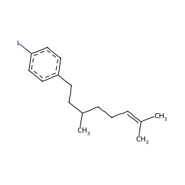 CC(C)=CCCC(C)CCc1ccc(I)cc1